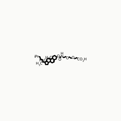 CC(C)CCC[C@@H](C)C1CCC2C3CC=C4C[C@@H](OC(=O)NCCOCCOCCC(=O)O)CC[C@]4(C)C3CC[C@@]21C